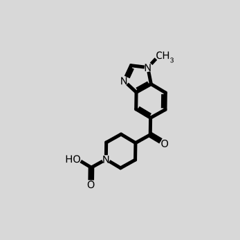 Cn1cnc2cc(C(=O)C3CCN(C(=O)O)CC3)ccc21